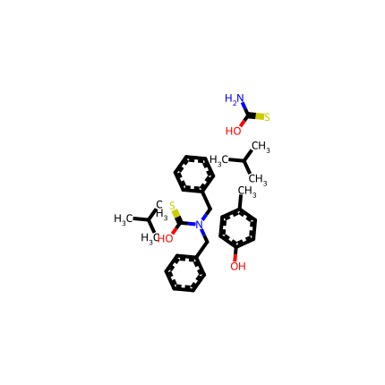 CC(C)C.CC(C)C.Cc1ccc(O)cc1.NC(O)=S.OC(=S)N(Cc1ccccc1)Cc1ccccc1